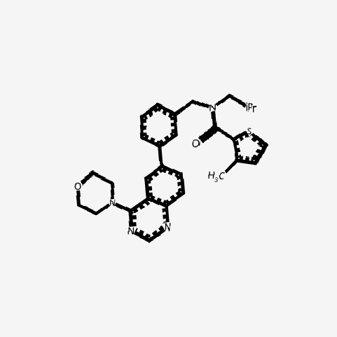 Cc1ccsc1C(=O)N(Cc1cccc(-c2ccc3ncnc(N4CCOCC4)c3c2)c1)CC(C)C